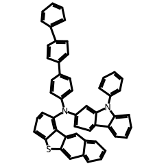 c1ccc(-c2ccc(-c3ccc(N(c4ccc5c6ccccc6n(-c6ccccc6)c5c4)c4cccc5sc6cc7ccccc7cc6c45)cc3)cc2)cc1